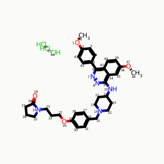 COc1ccc(-c2nnc(NC3CCN(Cc4ccc(OCCCN5CCCC5=O)cc4)CC3)c3cc(OC)ccc23)cc1.Cl.Cl.Cl